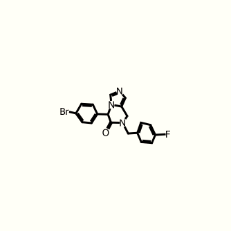 O=C1C(c2ccc(Br)cc2)n2cncc2CN1Cc1ccc(F)cc1